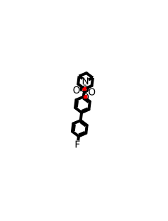 O=C1CC2CC(C1)N2S(=O)(=O)c1ccc(-c2ccc(F)cc2)cc1